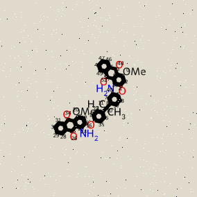 COc1cc(Oc2ccc(C(C)(C)c3ccc(Oc4cc(OC)c5c(c4N)C(=O)c4ccccc4C5=O)cc3)cc2)c(N)c2c1C(=O)c1ccccc1C2=O